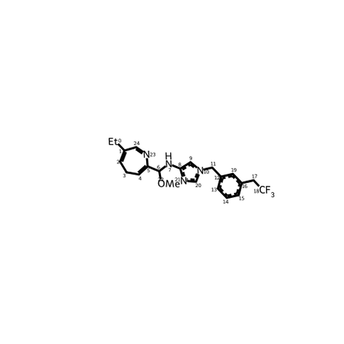 CCC1=CCC=C(C(Nc2cn(Cc3cccc(CC(F)(F)F)c3)cn2)OC)N=C1